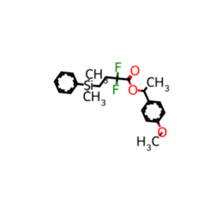 COc1ccc(C(C)OC(=O)C(F)(F)CC[Si](C)(C)c2ccccc2)cc1